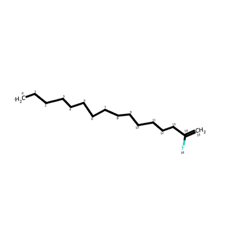 [CH2]CCCCCCCCCCCCCC(=C)F